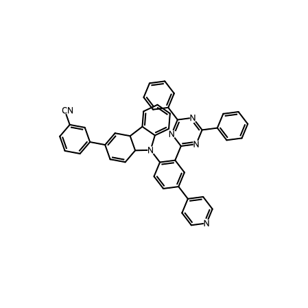 N#Cc1cccc(C2=CC3c4ccccc4N(c4ccc(-c5ccncc5)cc4-c4nc(-c5ccccc5)nc(-c5ccccc5)n4)C3C=C2)c1